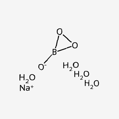 O.O.O.O.[Na+].[O-]B1OO1